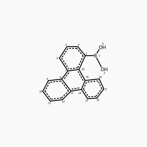 OB(O)c1cccc2c3ccccc3c3ccccc3c12